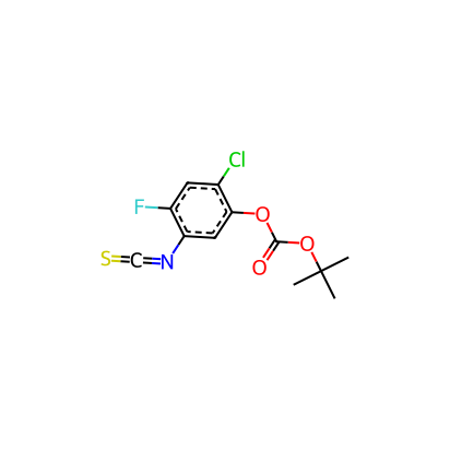 CC(C)(C)OC(=O)Oc1cc(N=C=S)c(F)cc1Cl